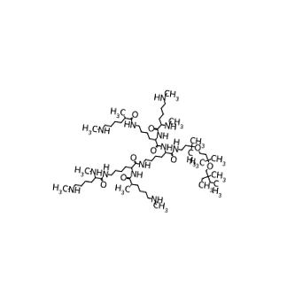 CCC(C)(CC)COC(C)(C)CCOC(C)(C)CCNC(=O)C(CCCCNC(=O)C(CCCCNC(=O)C(CCCCNC)NC)NC(=O)C(C)CCCCNC)NC(=O)C(CCCCNC(=O)C(C)CCCCNC)NC(=O)C(CCCCNC)NC